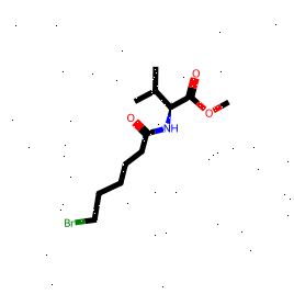 COC(=O)[C@@H](NC(=O)CCCCCBr)C(C)C